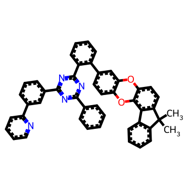 CC1(C)c2ccccc2-c2c1ccc1c2Oc2ccc(-c3ccccc3-c3nc(-c4ccccc4)nc(-c4cccc(-c5ccccn5)c4)n3)cc2O1